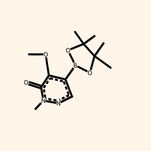 COc1c(B2OC(C)(C)C(C)(C)O2)cnn(C)c1=O